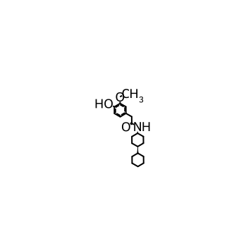 COc1cc(CC(=O)N[C@H]2CC[C@H](C3CCCCC3)CC2)ccc1O